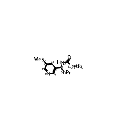 CCCC(NC(=O)OC(C)(C)C)c1cncc(SC)c1